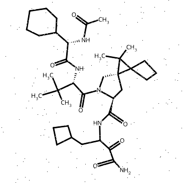 CC(=O)N[C@H](C(=O)N[C@H](C(=O)N1C[C@]2(C[C@H]1C(=O)NC(CC1CCC1)C(=O)C(N)=O)C(C)(C)C21CCC1)C(C)(C)C)C1CCCCC1